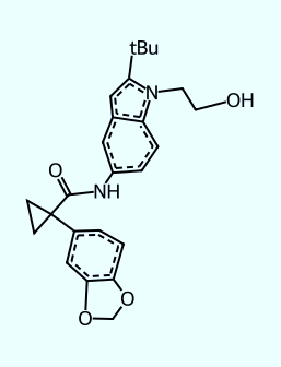 CC(C)(C)c1cc2cc(NC(=O)C3(c4ccc5c(c4)OCO5)CC3)ccc2n1CCO